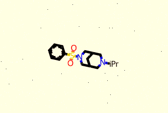 CC(C)N1CC2CC(C1)CN(S(=O)(=O)c1ccccc1)C2